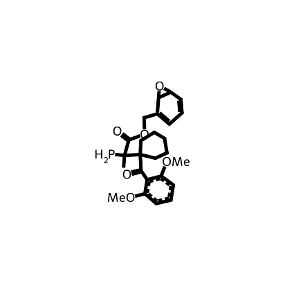 COc1cccc(OC)c1C(=O)C1(C(C)(P)C(=O)OCC2=CC=CC3OC23)CCCCC1